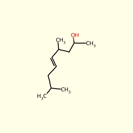 CC(C)CC=CC(C)CC(C)O